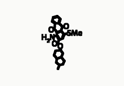 CSc1cc(C(=O)OC2CCC3CC(C)CCC3C2)c(N)c2c1C(=O)c1ccccc1C2=O